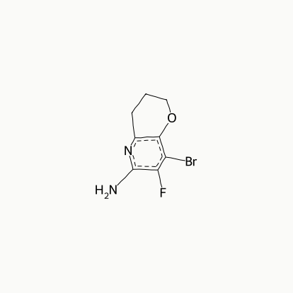 Nc1nc2c(c(Br)c1F)OCCC2